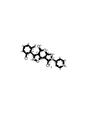 O=c1oc2nn(-c3ccncc3)c(C(F)(F)F)c2c2onc(-c3c(F)cccc3Cl)c12